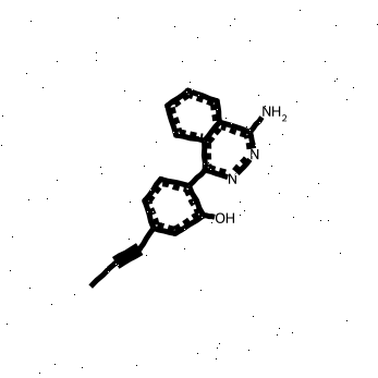 CC#Cc1ccc(-c2nnc(N)c3ccccc23)c(O)c1